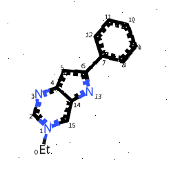 CCn1cnc2cc(-c3ccccc3)nc-2c1